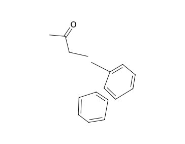 CCC(C)=O.Cc1ccccc1.c1ccccc1